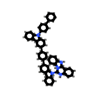 c1ccc(-c2ccc(-n3c4ccccc4c4cc(-c5ccc(-c6ccc7c8ccccc8n(-c8nc9ccccc9c9nc%10ccccc%10n89)c7c6)cc5)ccc43)cc2)cc1